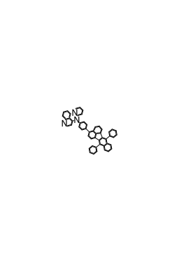 c1ccc(-c2c3c(c(-c4ccccc4)c4ccccc24)-c2ccc(-c4ccc(N(c5ccccn5)c5ccnc6ccccc56)cc4)c4cccc-3c24)cc1